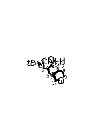 CC(C)(C)N(C[C@@H](CN)C[C@H]1CCCOC1)C(=O)O